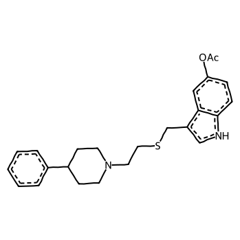 CC(=O)Oc1ccc2[nH]cc(CSCCN3CCC(c4ccccc4)CC3)c2c1